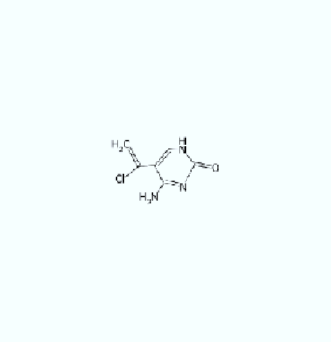 C=C(Cl)c1c[nH]c(=O)nc1N